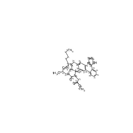 CCCCc1nc2c(c(=O)n(CC(=O)OC)c(=O)n2CC(C)C)n1Cc1ccc(-c2ccccc2-c2nnn[nH]2)cc1